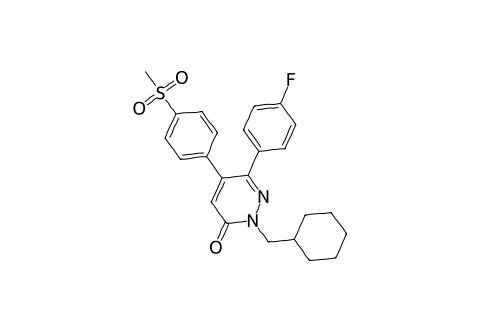 CS(=O)(=O)c1ccc(-c2cc(=O)n(CC3CCCCC3)nc2-c2ccc(F)cc2)cc1